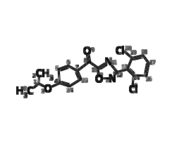 CC(C)Oc1ccc(C(=O)c2nc(-c3c(Cl)cccc3Cl)no2)cc1